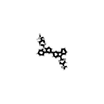 C[Si](C)(C)c1cnc(C2c3ccccc3-c3cc(-c4ccc5c(c4)c4ccccc4n5-c4ncc([Si](C)(C)C)cn4)ccc32)nc1